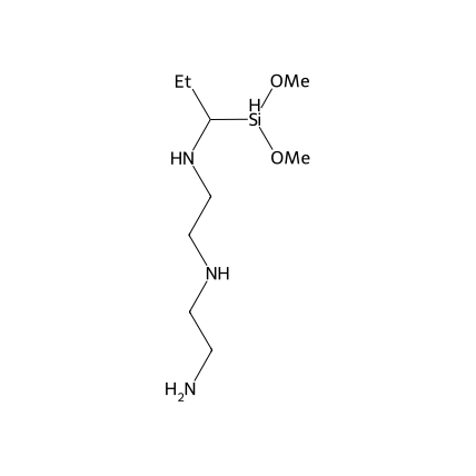 CCC(NCCNCCN)[SiH](OC)OC